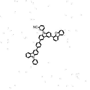 N#CC1C=CC=C(n2c3ccc(-c4ccc(-c5ccc6c(c5)c5ccccc5n6-c5ccccc5)cc4)cc3c3cc(-c4cccc5c4oc4ccccc45)ccc32)C1